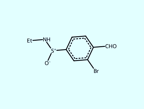 CCN[S+]([O-])c1ccc(C=O)c(Br)c1